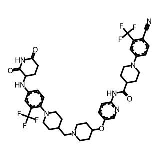 N#Cc1ccc(N2CCC(C(=O)Nc3ccc(OC4CCN(CC5CCN(c6ccc(NC7CCC(=O)NC7=O)cc6C(F)(F)F)CC5)CC4)cn3)CC2)cc1C(F)(F)F